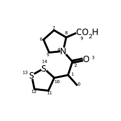 CC(C(=O)N1CCCC1C(=O)O)C1CCSS1